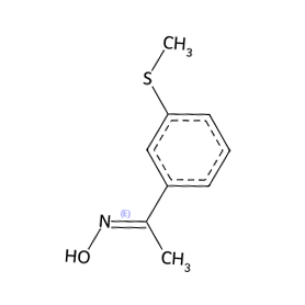 CSc1cccc(/C(C)=N/O)c1